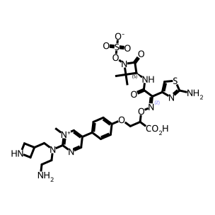 C[n+]1cc(-c2ccc(OCC(O/N=C(\C(=O)N[C@@H]3C(=O)N(OS(=O)(=O)[O-])C3(C)C)c3csc(N)n3)C(=O)O)cc2)cnc1N(CCN)CC1CNC1